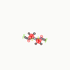 O=C1C(=Cc2cc3c(s2)C2=CC4C=C5OC(C(=O)OCc6ccccc6)(C(=O)OCc6ccccc6)c6cc(/C=C7/C(=O)c8cc9cc(F)c(F)cc9cc8C7O)sc6C5=CC4C=C2OC3(C(=O)OCc2ccccc2)C(=O)OCc2ccccc2)C(=O)c2cc3cc(F)c(F)cc3cc21